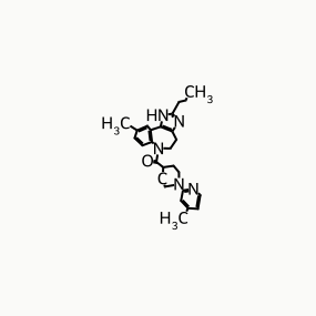 CCCc1nc2c([nH]1)-c1cc(C)ccc1N(C(=O)C1CCN(c3cc(C)ccn3)CC1)CC2